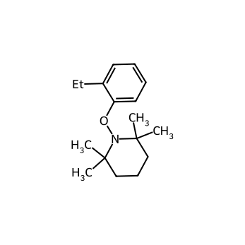 CCc1ccccc1ON1C(C)(C)CCCC1(C)C